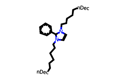 CCCCCCCCCCCCCCCCN1C=CN(CCCCCCCCCCCCCCC)C1c1ccccc1